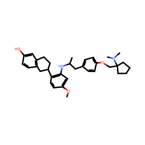 COc1ccc(C2CCc3cc(O)ccc3C2)c(NC(C)Cc2ccc(OCC3(N(C)C)CCCC3)cc2)c1